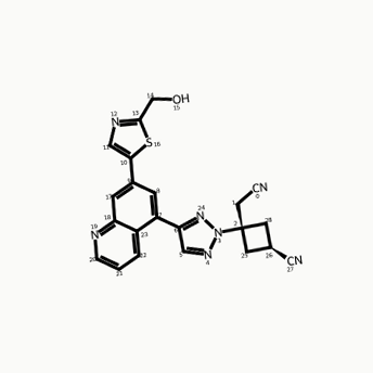 N#CC[C@]1(n2ncc(-c3cc(-c4cnc(CO)s4)cc4ncccc34)n2)C[C@H](C#N)C1